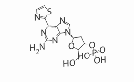 Nc1nc(-c2nccs2)c2ncn([C@H]3C[C@H](OP(=O)(O)O)[C@@H](CO)O3)c2n1